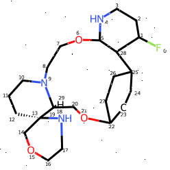 FC1CCNC2OCCN3CCC[C@]4(COCCN4)[C@H]3COC3CCC(CC3)C12